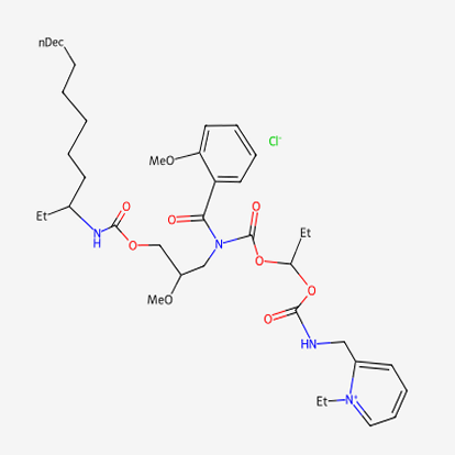 CCCCCCCCCCCCCCCC(CC)NC(=O)OCC(CN(C(=O)OC(CC)OC(=O)NCc1cccc[n+]1CC)C(=O)c1ccccc1OC)OC.[Cl-]